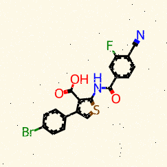 N#Cc1ccc(C(=O)Nc2scc(-c3ccc(Br)cc3)c2C(=O)O)cc1F